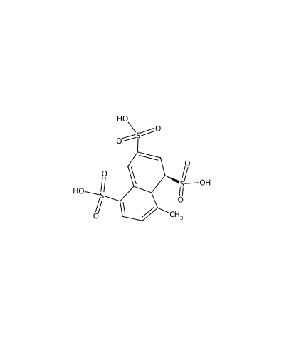 CC1=CC=C(S(=O)(=O)O)C2=CC(S(=O)(=O)O)=C[C@@H](S(=O)(=O)O)C12